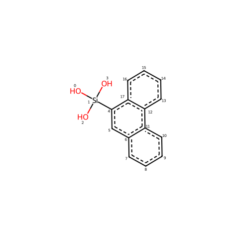 O[Si](O)(O)c1cc2ccccc2c2ccccc12